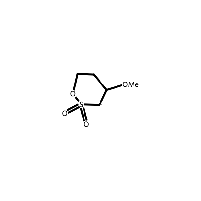 COC1[CH]S(=O)(=O)OCC1